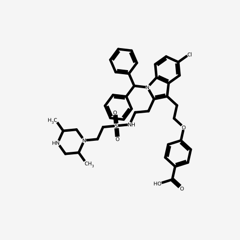 CC1CN(CCS(=O)(=O)NCCc2c(CCOc3ccc(C(=O)O)cc3)c3cc(Cl)ccc3n2C(c2ccccc2)c2ccccc2)C(C)CN1